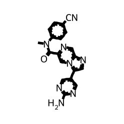 CN(C(=O)c1cn2c(-c3cnc(N)nc3)cnc2cn1)c1ccc(C#N)cc1